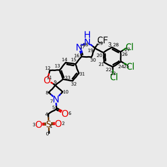 CS(=O)(=O)CC(=O)N1CC2(C1)OCc1cc(C3=NNC(c4cc(Cl)c(Cl)c(Cl)c4)(C(F)(F)F)C3)ccc12